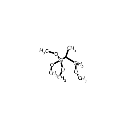 CO[SiH2]C(C)[Si](OC)(OC)OC